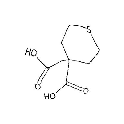 O=C(O)C1(C(=O)O)CCSCC1